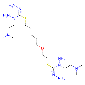 CN(C)CCN(N)/C(=N\N)SCCCCCOCCS/C(=N/N)N(N)CCN(C)C